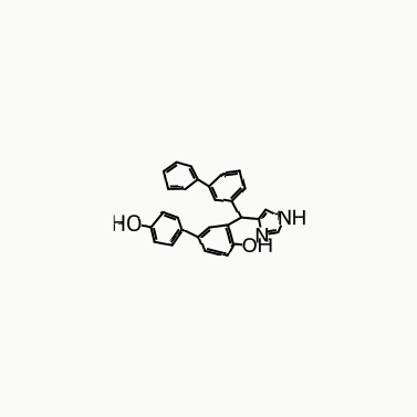 Oc1ccc(-c2ccc(O)c(C(c3cccc(-c4ccccc4)c3)c3c[nH]cn3)c2)cc1